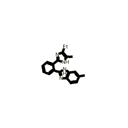 CCc1nc(-c2ccccc2-c2nc3ccc(C)cc3[nH]2)[nH]c1C